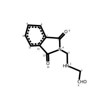 O=CCNCN1C(=O)c2ccccc2C1=O